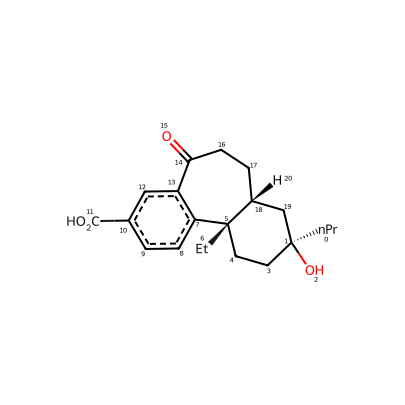 CCC[C@]1(O)CC[C@]2(CC)c3ccc(C(=O)O)cc3C(=O)CC[C@@H]2C1